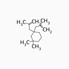 C=C(C)CC1(CC(=C)C)CCCC(C)(C)C1